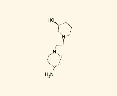 NC1CCN(CCN2CCC[C@H](O)C2)CC1